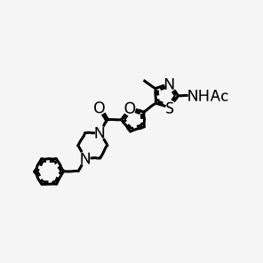 CC(=O)Nc1nc(C)c(-c2ccc(C(=O)N3CCN(Cc4ccccc4)CC3)o2)s1